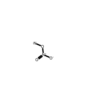 [N]O[N+](=O)[O-]